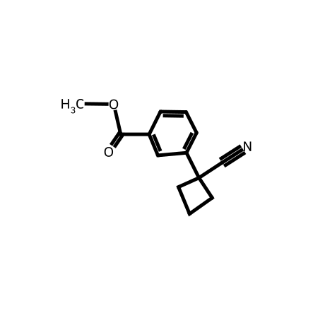 COC(=O)c1cccc(C2(C#N)CCC2)c1